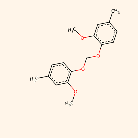 COc1cc(C)ccc1OCOc1ccc(C)cc1OC